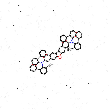 CC(C)c1cccc(-c2ccccc2)c1N(c1ccc2cc3c(cc2c1)oc1cc2cc(N(c4ccccc4-c4ccccc4)c4c(-c5ccccc5)cccc4C(C)C)ccc2cc13)c1ccccc1-c1ccccc1